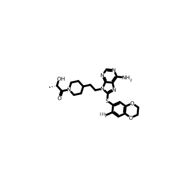 C[C@H](O)C(=O)N1CCC(CCn2c(Sc3cc4c(cc3[131I])OCCO4)nc3c(N)ncnc32)CC1